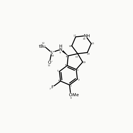 COc1cc2c(cc1F)[C@@H](N[S+]([O-])C(C)(C)C)C1(CCNCC1)C2